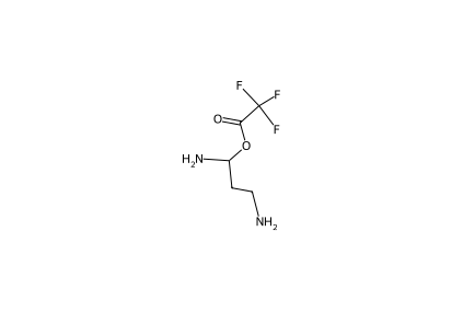 NCCC(N)OC(=O)C(F)(F)F